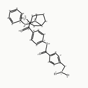 CCN(CC)Cc1ccc(C(=O)Oc2ccc(C(=O)C(C)N3C4CCC3CC(Sc3ccccc3)C4)cc2)cc1